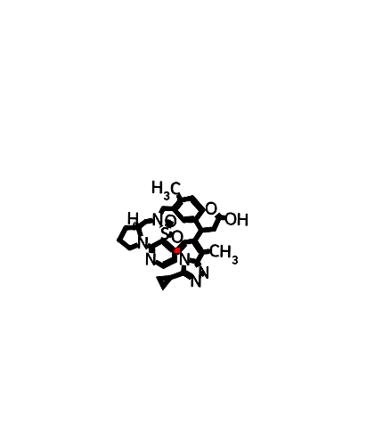 Cc1ccc(C(CC(=O)O)c2ccn3c(C4CC4)nnc3c2C)cc1CN1C[C@H]2CCCN2c2ncccc2S1(=O)=O